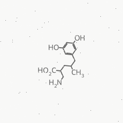 CC(Cc1cc(O)cc(O)c1)CC(CN)C(=O)O